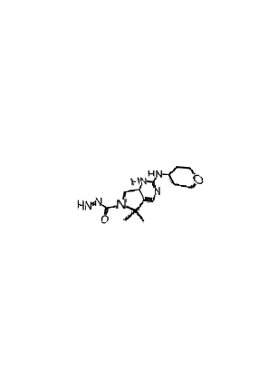 CC1(C)C2=CN=C(NC3CCOCC3)NC2CN1C(=O)N=N